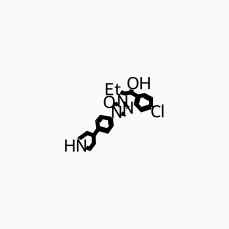 CCC(C(O)c1ccc(Cl)cc1)n1ncn(-c2ccc(C3CCNCC3)cc2)c1=O